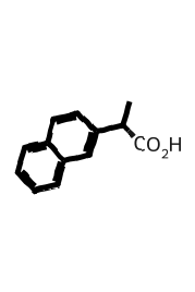 CC(C(=O)O)c1ccc2ccccc2c1